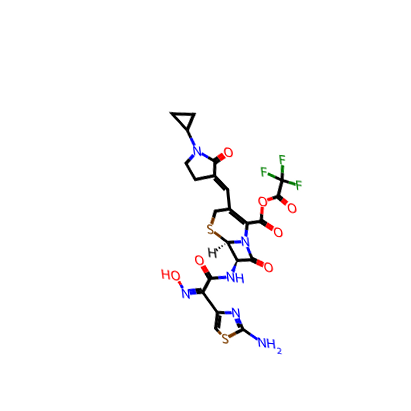 Nc1nc(/C(=N/O)C(=O)N[C@@H]2C(=O)N3C(C(=O)OC(=O)C(F)(F)F)=C(C=C4CCN(C5CC5)C4=O)CS[C@H]23)cs1